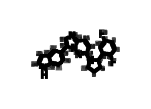 Fc1ccc(F)c(C2CCCN2c2ccc3ncc(-c4ccc5[nH]ccc5c4)n3n2)c1